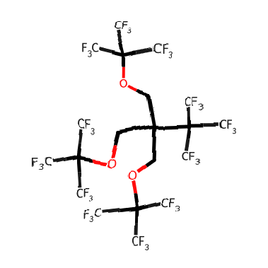 FC(F)(F)C(OCC(COC(C(F)(F)F)(C(F)(F)F)C(F)(F)F)(COC(C(F)(F)F)(C(F)(F)F)C(F)(F)F)C(C(F)(F)F)(C(F)(F)F)C(F)(F)F)(C(F)(F)F)C(F)(F)F